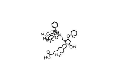 CCCC[C@]1(CCCCCCC(=O)O)[C@@H](O)CC(OC2CCCCO2)[C@@H]1CC[C@@H](COc1ccccc1)O[Si](C)(C)C(C)(C)C